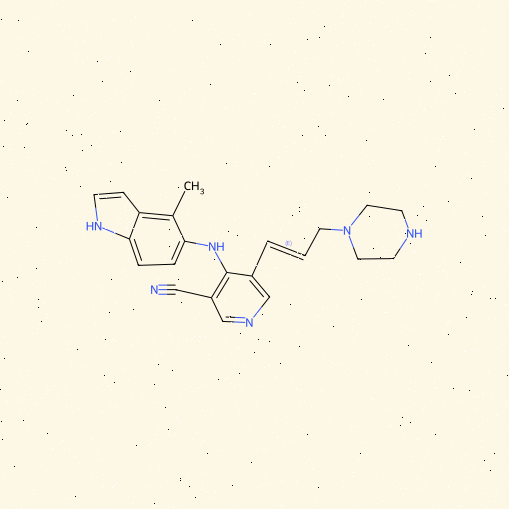 Cc1c(Nc2c(C#N)cncc2/C=C/CN2CCNCC2)ccc2[nH]ccc12